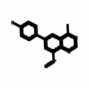 Cc1ncnc2c([S+]=O)cc(-c3ccc(F)cc3)cc12